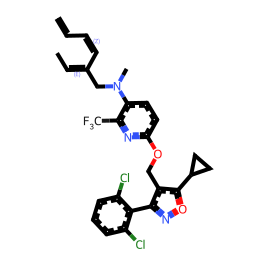 C=C/C=C\C(=C/C)CN(C)c1ccc(OCc2c(-c3c(Cl)cccc3Cl)noc2C2CC2)nc1C(F)(F)F